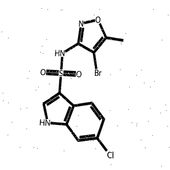 Cc1onc(NS(=O)(=O)c2c[nH]c3cc(Cl)ccc23)c1Br